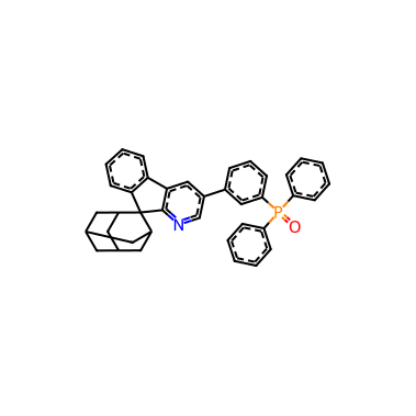 O=P(c1ccccc1)(c1ccccc1)c1cccc(-c2cnc3c(c2)-c2ccccc2C32C3CC4CC(C3)CC2C4)c1